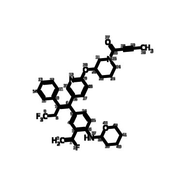 C=C(F)c1cc(/C(=C(\CC(F)(F)F)c2ccccc2)c2ccc(OC3CCCN(C(=O)C#CC)C3)nc2)ccc1NC1CCCCO1